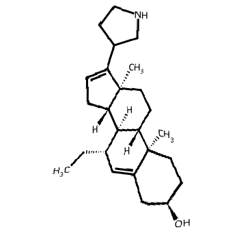 CC[C@H]1C=C2C[C@H](O)CC[C@]2(C)[C@H]2CC[C@]3(C)C(C4CCNC4)=CC[C@H]3[C@H]12